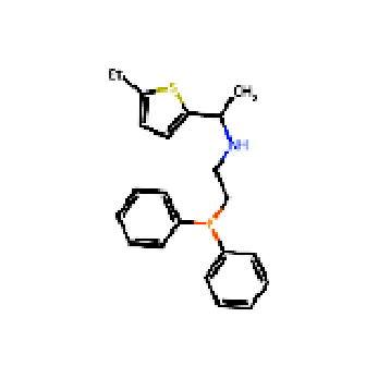 CCc1ccc(C(C)NCCP(c2ccccc2)c2ccccc2)s1